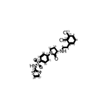 O=C1[C@@H](NCCc2cccc(Cl)c2Cl)CCN1c1ccc(S(=O)(=O)Nc2nccs2)cc1